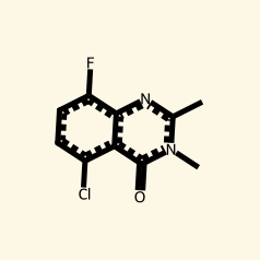 Cc1nc2c(F)ccc(Cl)c2c(=O)n1C